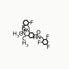 CC1c2ccc(C(=O)NCc3c(F)cc(F)cc3F)cc2N(Cc2c(F)cccc2F)C(=O)N1C